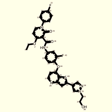 CCOc1ccn(-c2ccc(F)cc2)c(=O)c1C(=O)Nc1ccc(Oc2ccnc3cc(-c4cnn(CCO)c4)sc23)c(F)c1